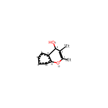 CCC1=C(CC)C(O)c2ccccc2O1